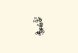 COc1cc(C(=O)N2CC3CCC2C3N)cc2nc(-c3cc4ccc(-c5cnc(N)c(CO)c5)nc4n3CC3CC3)n(C)c12